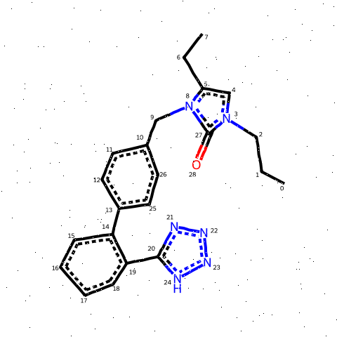 CCCn1cc(CC)n(Cc2ccc(-c3ccccc3-c3nnn[nH]3)cc2)c1=O